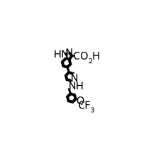 O=C(O)c1n[nH]c2ccc(-c3ccc(NCc4cccc(OC(F)(F)F)c4)nc3)cc12